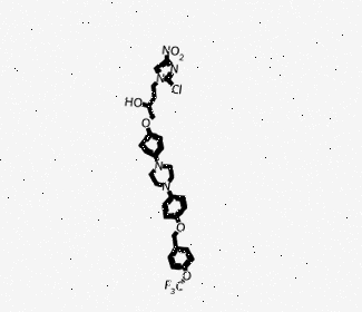 O=[N+]([O-])c1cn(CCC(O)COc2ccc(N3CCN(c4ccc(OCc5ccc(OC(F)(F)F)cc5)cc4)CC3)cc2)c(Cl)n1